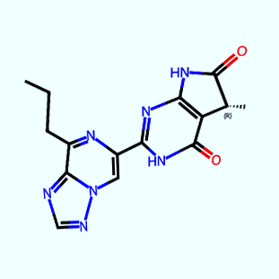 CCCc1nc(-c2nc3c(c(=O)[nH]2)[C@@H](C)C(=O)N3)cn2ncnc12